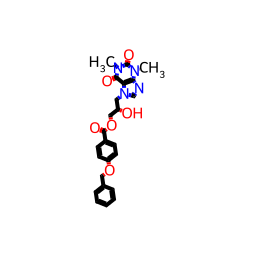 Cn1c(=O)c2c(ncn2CC(O)COC(=O)c2ccc(OCc3ccccc3)cc2)n(C)c1=O